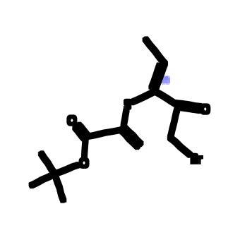 C=C(S/C(=C\C)C(=O)CBr)C(=O)OC(C)(C)C